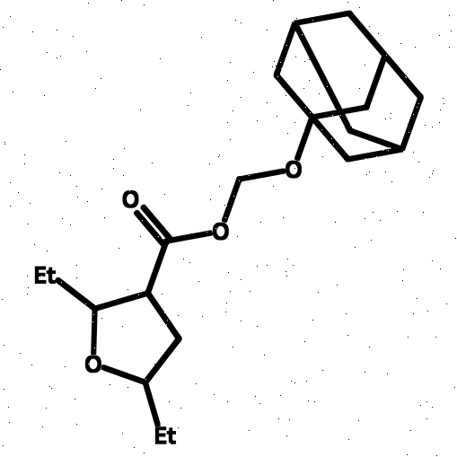 CCC1CC(C(=O)OCOC23CC4CC(CC(C4)C2)C3)C(CC)O1